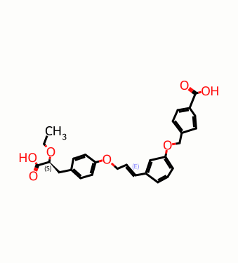 CCO[C@@H](Cc1ccc(OC/C=C/c2cccc(OCc3ccc(C(=O)O)cc3)c2)cc1)C(=O)O